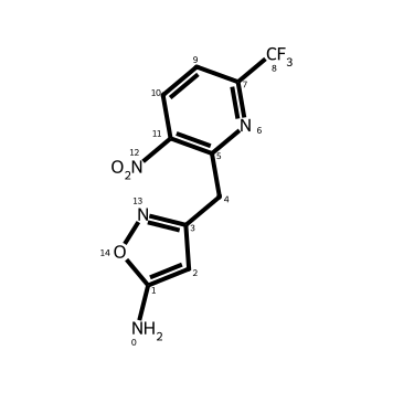 Nc1cc(Cc2nc(C(F)(F)F)ccc2[N+](=O)[O-])no1